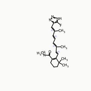 CNC(=O)C1=C(/C=C/C(C)=C/C=C/C(C)=C/c2nn[nH]c2F)C(C)(C)CCC1